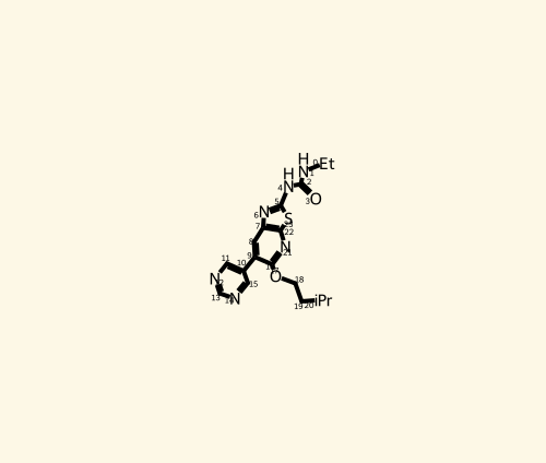 CCNC(=O)Nc1nc2cc(-c3cncnc3)c(OCCC(C)C)nc2s1